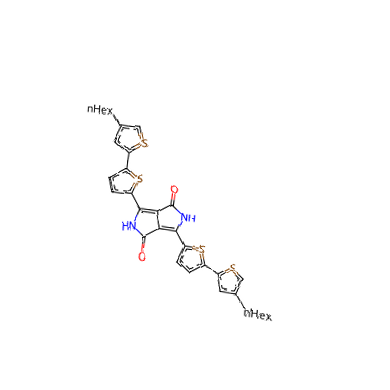 CCCCCCc1csc(-c2ccc(C3=C4C(=O)NC(c5ccc(-c6cc(CCCCCC)cs6)s5)=C4C(=O)N3)s2)c1